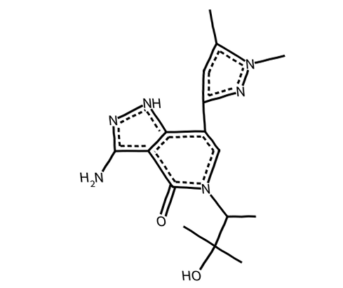 Cc1cc(-c2cn(C(C)C(C)(C)O)c(=O)c3c(N)n[nH]c23)nn1C